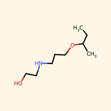 CCC(C)OCCCNCCO